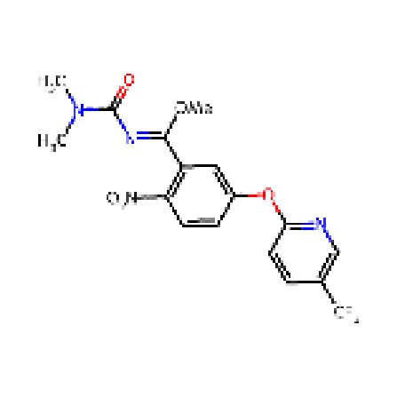 COC(=NC(=O)N(C)C)c1cc(Oc2ccc(C(F)(F)F)cn2)ccc1[N+](=O)[O-]